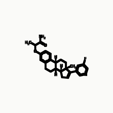 CC(Oc1ccc2c(c1)CC[C@@H]1[C@@H]2CC[C@]2(C)C(c3cncc(F)c3)=CC[C@@H]12)C(N)=O